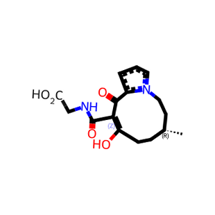 C[C@@H]1CC/C(O)=C(/C(=O)NCC(=O)O)C(=O)c2cccn2CC1